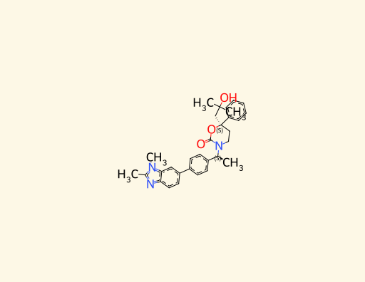 Cc1nc2ccc(-c3ccc([C@H](C)N4CC[C@](CC(C)(C)O)(c5ccccc5)OC4=O)cc3)cc2n1C